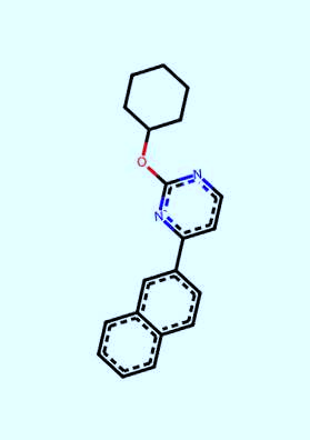 c1ccc2cc(-c3ccnc(OC4CCCCC4)n3)ccc2c1